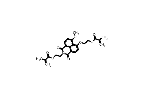 C=C(C)C(=O)OCCOc1ccc2c3c(ccc(OC)c13)C(=O)N(CCOC(=O)C(=C)C)C2=O